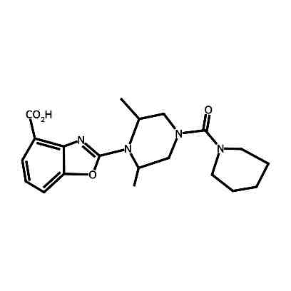 CC1CN(C(=O)N2CCCCC2)CC(C)N1c1nc2c(C(=O)O)cccc2o1